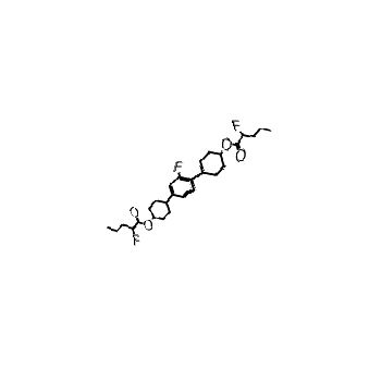 CCCC(F)C(=O)OC1CCC(c2ccc(C3CCC(OC(=O)C(F)CCC)CC3)c(F)c2)CC1